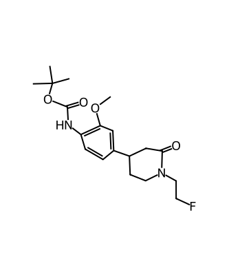 COc1cc(C2CCN(CCF)C(=O)C2)ccc1NC(=O)OC(C)(C)C